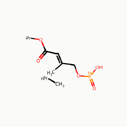 C/C(=C\C(=O)OC(C)C)CO[PH](=O)O.CCCC